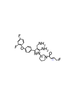 NCc1c(-c2ccc(Oc3ccc(F)cc3F)cc2)nn([C@@H]2CCCN(C(=O)/C=C/CF)C2)c1N